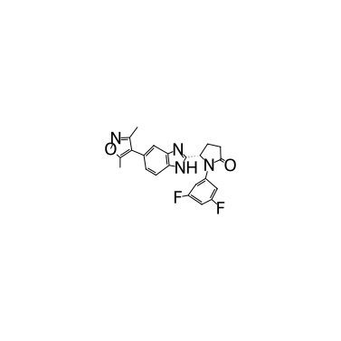 Cc1noc(C)c1-c1ccc2[nH]c([C@@H]3CCC(=O)N3c3cc(F)cc(F)c3)nc2c1